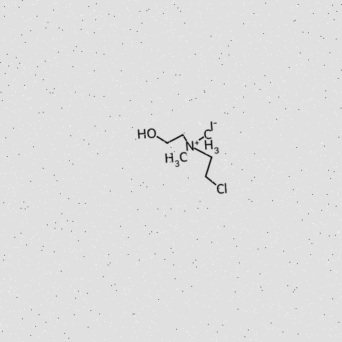 C[N+](C)(CCO)CCCl.[I-]